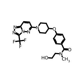 CN(CCO)C(=O)c1ccc(OC2CCN(c3ccc4nnc(C(F)(F)F)n4n3)CC2)cc1